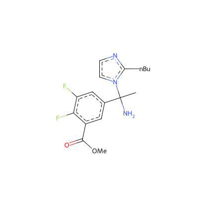 CCCCc1nccn1C(C)(N)c1cc(F)c(F)c(C(=O)OC)c1